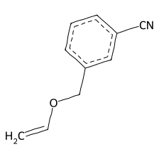 C=COCc1cccc(C#N)c1